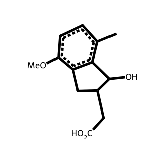 COc1ccc(C)c2c1CC(CC(=O)O)C2O